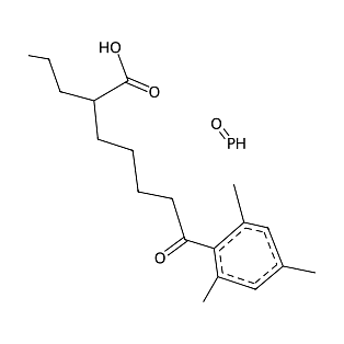 CCCC(CCCCC(=O)c1c(C)cc(C)cc1C)C(=O)O.O=P